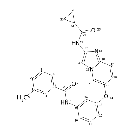 Cc1cccc(C(=O)Nc2cccc(Oc3ccc4nc(NC(=O)C5CC5)cn4c3)c2)c1